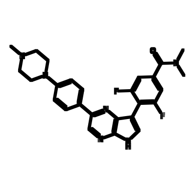 CN1CCN(c2ccc(-c3cnc4[nH]cc(-c5c(F)cc(C(=O)N(C)C)cc5F)c4n3)cc2)CC1